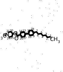 CCCCCCCCc1ccc(-c2ccc(C(=O)OC3CCN(C)CC3)cc2)cc1